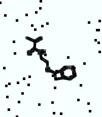 C=C(C)C(=O)NCCOC1Cc2ccccc21